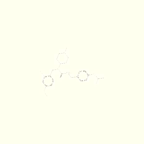 COc1ccc(CN(C(=O)NCc2ccc(OC(C)C)cc2)C2CCN(C)CC2)c(F)c1